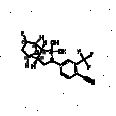 N#Cc1ccc(N2C[C@H]3[C@H]([C@H]4O[C@@H]3C[C@H]4F)S2(O)O)cc1C(F)(F)F